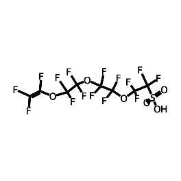 O=S(=O)(O)C(F)(F)C(F)(F)OC(F)(F)C(F)(F)OC(F)(F)C(F)(F)OC(F)=C(F)F